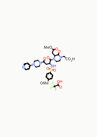 COC(=O)CC1C(=O)N(CC(=O)O)CCN1C(=O)C(CC(=O)N1CCN(c2ccncc2)CC1)NS(=O)(=O)c1ccc(OC)cc1.O=C(O)C(F)(F)F